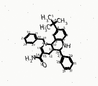 CC(C)(C)c1ccc2c(c1)C1C(CC(C(N)=O)=CN1Cc1ccccc1)C(c1ccccc1)N2